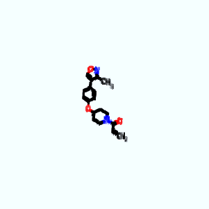 C=CC(=O)N1CCC(Oc2ccc(-c3conc3C)cc2)CC1